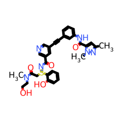 Cc1cc(C(=O)Nc2cccc(C#Cc3cncc(C(=O)N=S(CC(=O)N(C)CCO)c4ccccc4O)c3)c2)n(C)n1